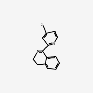 Clc1ccnc(C2=NCCc3ccccc32)c1